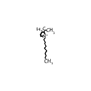 CCCCCCCCCCC[n+]1cccc(C(C)C)c1